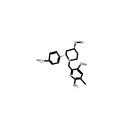 CCO[C@H]1CCN(Cc2nc(N)c(C)cc2OC)[C@H](c2ccc(C(=O)O)cc2)C1